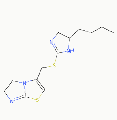 CCCCC1CN=C(SCC2=CSC3=NCCN23)N1